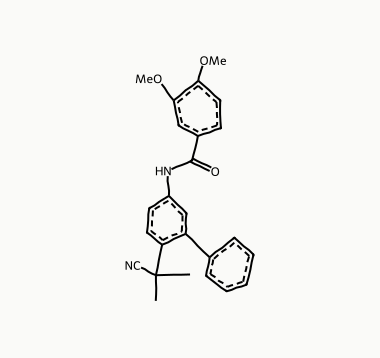 COc1ccc(C(=O)Nc2ccc(C(C)(C)C#N)c(-c3ccccc3)c2)cc1OC